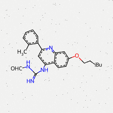 CCC(C)CCOc1ccc2c(NC(=N)NC=O)cc(-c3ccccc3C)nc2c1